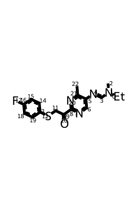 CCN(C)/C=N/c1cnc(C(=O)CSc2ccc(F)cc2)nc1C